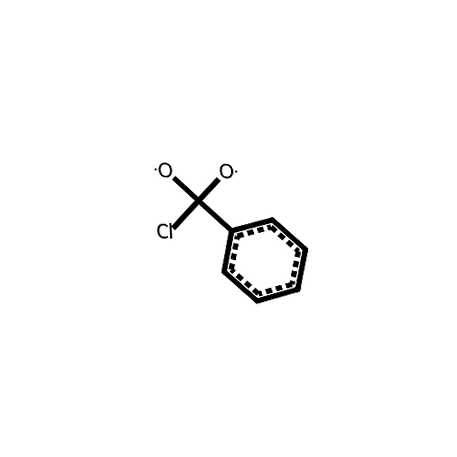 [O]C([O])(Cl)c1ccccc1